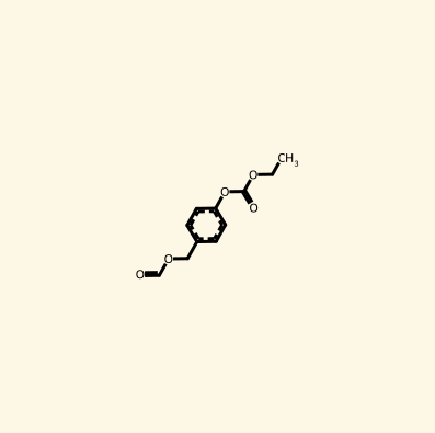 CCOC(=O)Oc1ccc(COC=O)cc1